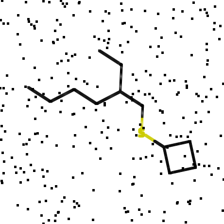 CCCCC(CC)CSC1CCC1